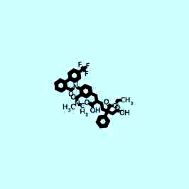 CCOC(=O)C(CCC(Cc1ccc(NC(=O)c2ccccc2-c2ccc(C(F)(F)F)cc2)c(C(=O)N(C)C)c1)C(=O)O)(CC(=O)O)c1ccccc1